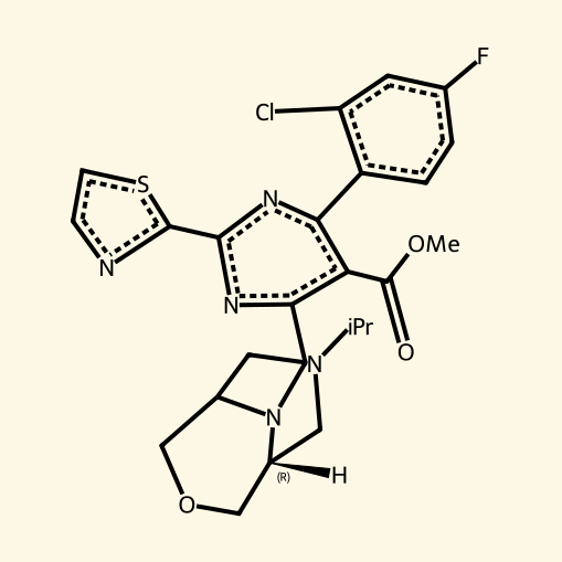 COC(=O)c1c(CN2C3COC[C@H]2CN(C(C)C)C3)nc(-c2nccs2)nc1-c1ccc(F)cc1Cl